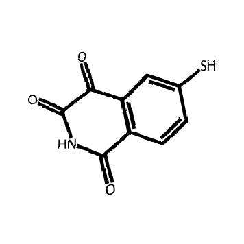 O=C1NC(=O)c2ccc(S)cc2C1=O